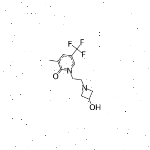 Cc1cc(C(F)(F)F)cn(CCN2CC(O)C2)c1=O